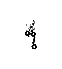 CSCC[C@H](NC(=O)c1ccc(CC=CCC2CCCCC2)cc1-c1ccccc1C)C(=O)O